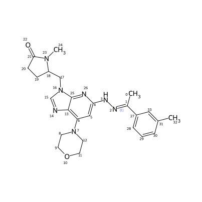 C/C(=N\Nc1cc(N2CCOCC2)c2ncn(CC3CCC(=O)N3C)c2n1)c1cccc(C)c1